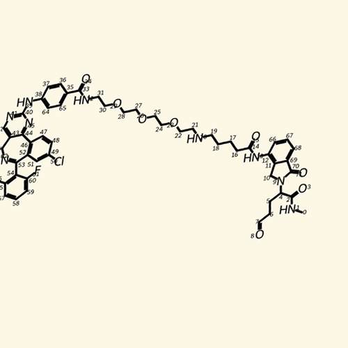 CNC(=O)C(CCC=O)N1Cc2c(NC(=O)CCCCNCCOCCOCCOCCNC(=O)c3ccc(Nc4ncc5c(n4)-c4ccc(Cl)cc4C(c4c(F)cccc4F)=NC5)cc3)cccc2C1=O